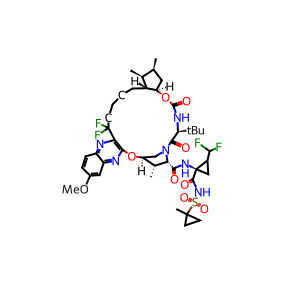 COc1ccc2nc3c(nc2c1)O[C@H]1CN(C(=O)[C@H](C(C)(C)C)NC(=O)O[C@@H]2C[C@H](C)[C@H](C)[C@H]2CCCCC3(F)F)[C@H](C(=O)N[C@]2(C(=O)NS(=O)(=O)C3(C)CC3)CC2C(F)F)[C@@H]1C